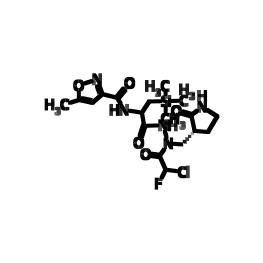 Cc1cc(C(=O)NC(C[Si](C)(C)C)C(=O)NN(C[C@H]2CCNC2=O)C(=O)C(F)Cl)no1